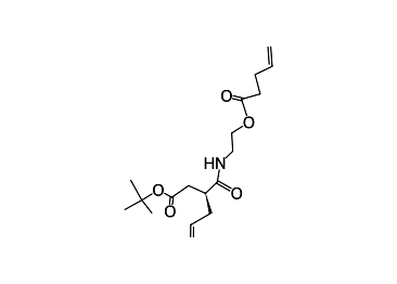 C=CCCC(=O)OCCNC(=O)[C@@H](CC=C)CC(=O)OC(C)(C)C